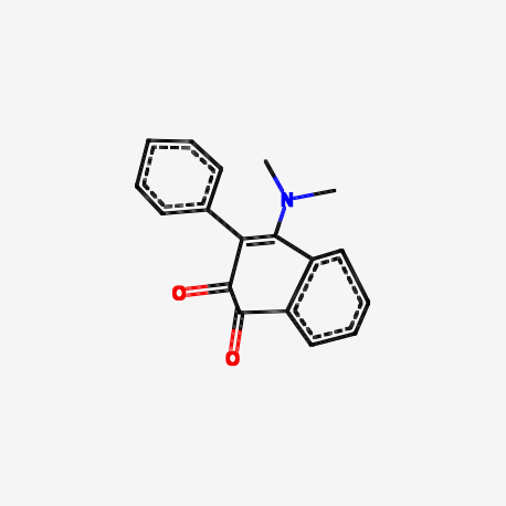 CN(C)C1=C(c2ccccc2)C(=O)C(=O)c2ccccc21